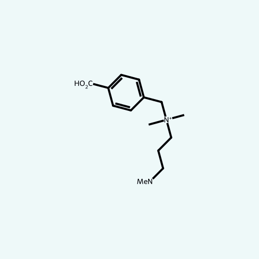 CNCCC[N+](C)(C)Cc1ccc(C(=O)O)cc1